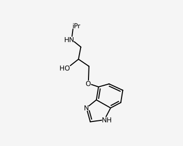 CC(C)NCC(O)COc1cccc2[nH]cnc12